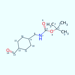 CC(C)(C)OC(=O)NCC1CCC(C=O)CC1